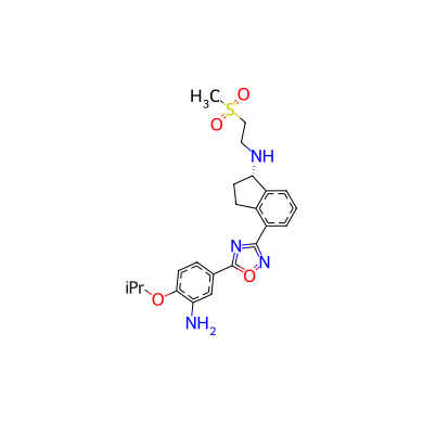 CC(C)Oc1ccc(-c2nc(-c3cccc4c3CC[C@@H]4NCCS(C)(=O)=O)no2)cc1N